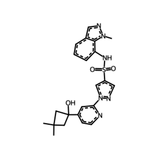 Cn1ncc2cccc(NS(=O)(=O)c3cnn(-c4cc(C5(O)CC(C)(C)C5)ccn4)c3)c21